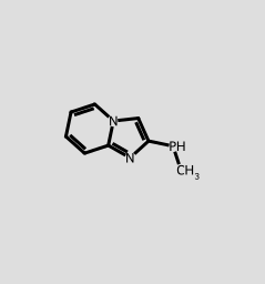 CPc1cn2ccccc2n1